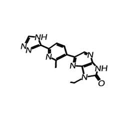 CCn1c(=O)[nH]c2ncc(-c3ccc(-c4nnc[nH]4)nc3C)nc21